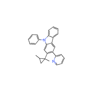 CC1CC1(C)c1cc2c(cc1-c1ccccn1)c1ccccc1n2-c1ccccc1